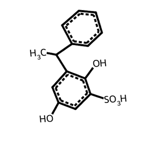 CC(c1ccccc1)c1cc(O)cc(S(=O)(=O)O)c1O